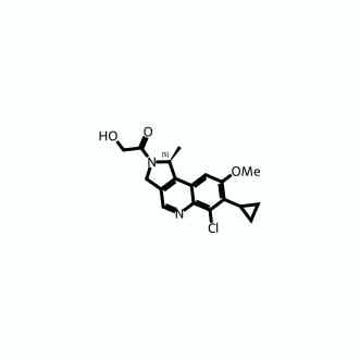 COc1cc2c3c(cnc2c(Cl)c1C1CC1)CN(C(=O)CO)[C@H]3C